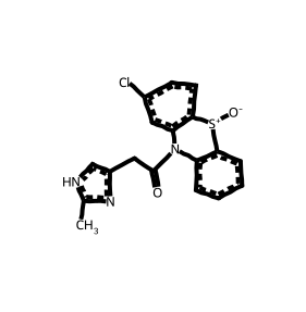 Cc1nc(CC(=O)N2c3ccccc3[S+]([O-])c3ccc(Cl)cc32)c[nH]1